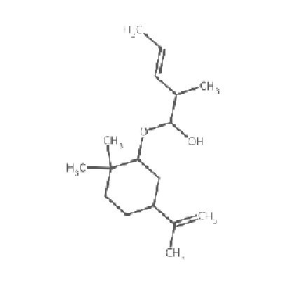 C=C(C)C1CCC(C)(C)C(OC(O)C(C)C=CC)C1